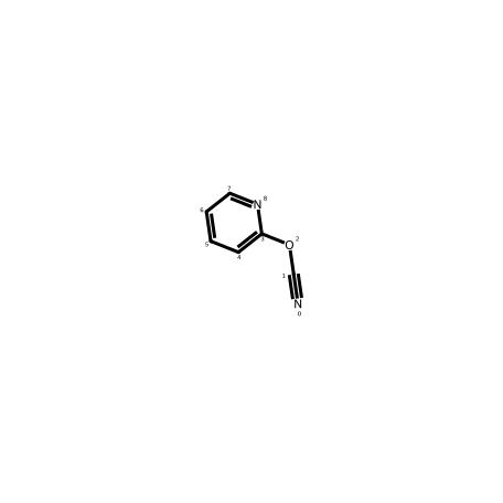 N#COc1ccccn1